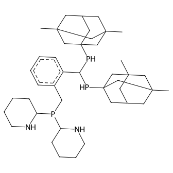 CC12CC3CC(C)(C1)CC(PC(PC14CC5CC(C)(CC(C)(C5)C1)C4)c1ccccc1CP(C1CCCCN1)C1CCCCN1)(C3)C2